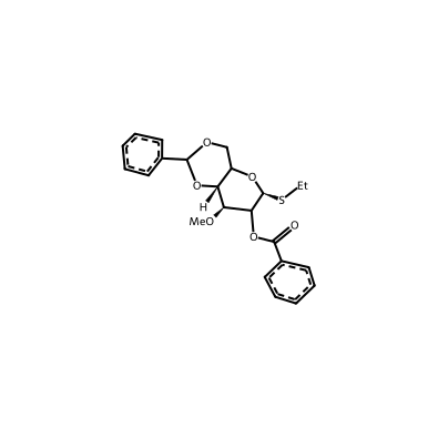 CCS[C@@H]1OC2COC(c3ccccc3)O[C@H]2[C@H](OC)C1OC(=O)c1ccccc1